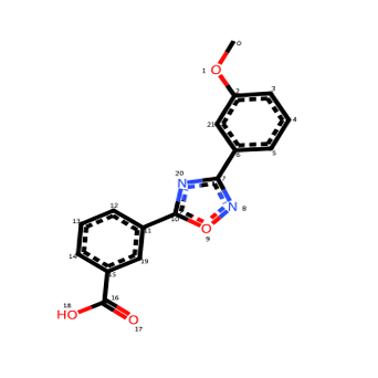 COc1cccc(-c2noc(-c3cccc(C(=O)O)c3)n2)c1